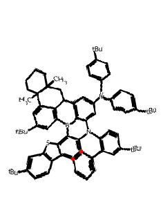 CC(C)(C)c1ccc(N(c2ccc(C(C)(C)C)cc2)c2cc3c4c(c2)N(c2ccc(C(C)(C)C)cc2-c2ccccc2)c2ccc5c(sc6cc(C(C)(C)C)ccc65)c2B4c2cc(C(C)(C)C)cc4c2C3CC2(C)CCCCC42C)cc1